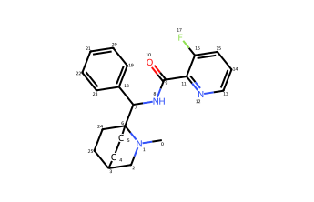 CN1CC2CCC1(C(NC(=O)c1ncccc1F)c1ccccc1)CC2